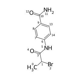 CC(Br)C(=O)Nc1ccc(C(N)=O)cc1